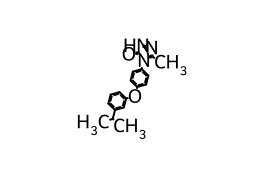 Cc1n[nH]c(=O)n1-c1ccc(Oc2cccc(C(C)C)c2)cc1